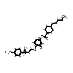 CCCCCC1CCC(C(=O)Oc2ccc(OCCC(F)(F)c3ccc(C)cc3)c(F)c2)CC1